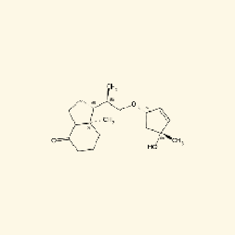 C[C@@H](CO[C@@H]1C=C[C@](C)(O)C1)[C@H]1CCC2C(=O)CCC[C@@]21C